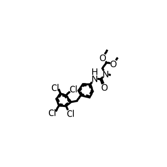 COC(CN(C)C(=O)Nc1ccc(Cc2c(Cl)c(Cl)cc(Cl)c2Cl)cc1)OC